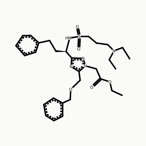 CCOC(=O)Cn1nc([C@@H](CCc2ccccc2)NS(=O)(=O)CCCN(CC)CC)nc1COCc1ccccc1